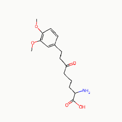 COc1ccc(CCC(=O)CCCC(N)C(=O)O)cc1OC